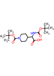 CC(C)(C)OC(=O)NC(C(=O)O)C1CCN(C(=O)OC(C)(C)C)CC1